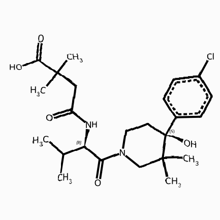 CC(C)[C@@H](NC(=O)CC(C)(C)C(=O)O)C(=O)N1CC[C@](O)(c2ccc(Cl)cc2)C(C)(C)C1